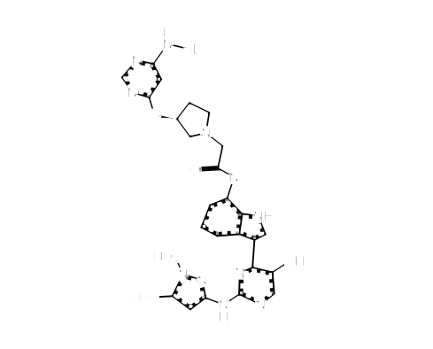 CCCCNc1cc(O[C@H]2CCN(CC(=O)Nc3cccc4c(-c5nc(Nc6cc(C)n(C)n6)ncc5C)c[nH]c34)C2)ncn1